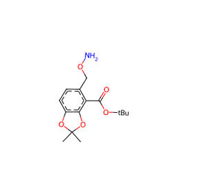 CC(C)(C)OC(=O)c1c(CON)ccc2c1OC(C)(C)O2